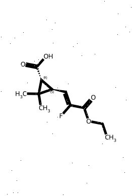 CCOC(=O)C(F)=C[C@@H]1[C@@H](C(=O)O)C1(C)C